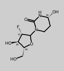 O=C1N[C@H](O)CCN1C1O[C@H](CO)[C@@H](O)[C@@H]1F